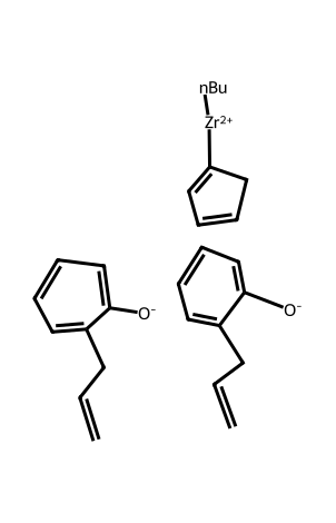 C=CCc1ccccc1[O-].C=CCc1ccccc1[O-].CCC[CH2][Zr+2][C]1=CC=CC1